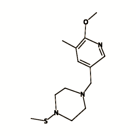 COc1ncc(CN2CCN(SC)CC2)cc1C